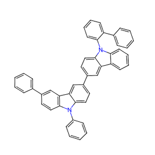 c1ccc(-c2ccc3c(c2)c2cc(-c4ccc5c(c4)c4ccccc4n5-c4ccccc4-c4ccccc4)ccc2n3-c2ccccc2)cc1